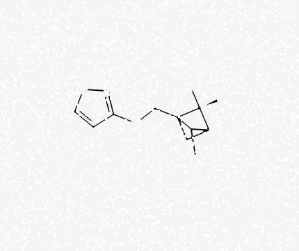 C[C@@H]1C2CC1(COc1cc[nH]n1)[C@@H]2C